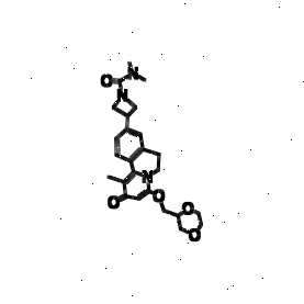 Cc1c2n(c(OCC3COCCO3)cc1=O)CCc1cc(C3CN(C(=O)N(C)C)C3)ccc1-2